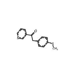 CSc1ccc(CC(=O)c2cccnc2)cc1